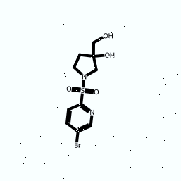 O=S(=O)(c1ccc(Br)cn1)N1CCC(O)(CO)C1